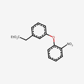 CCOC(=O)Cc1cccc(Oc2ccccc2[N+](=O)[O-])c1